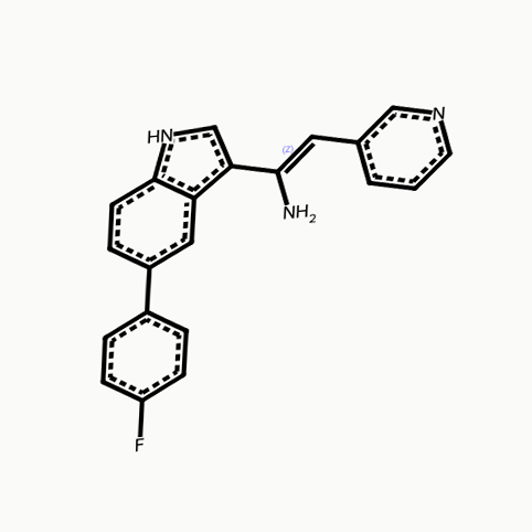 N/C(=C\c1cccnc1)c1c[nH]c2ccc(-c3ccc(F)cc3)cc12